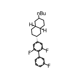 CCCCC1CC[C@@H]2C[C@H](c3cc(F)c(-c4cccc(F)c4)c(F)c3)CC[C@@H]2C1